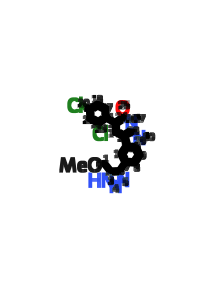 COCc1[nH]nnc1-c1ccc2c(c1)c1cc(-c3ccc(Cl)cc3Cl)c(=O)n(C)c1n2C